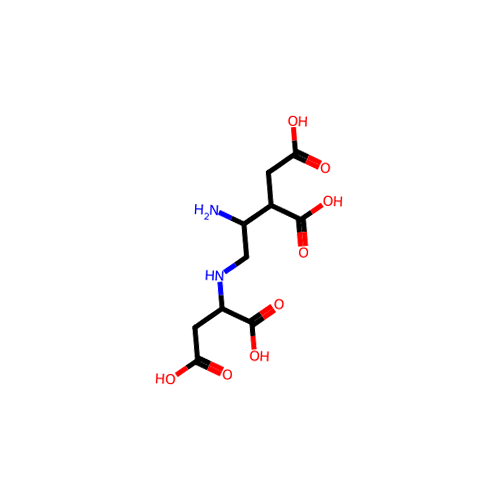 NC(CNC(CC(=O)O)C(=O)O)C(CC(=O)O)C(=O)O